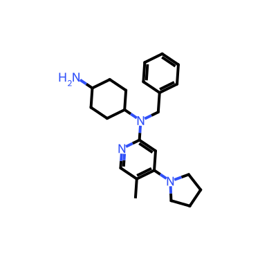 Cc1cnc(N(Cc2ccccc2)C2CCC(N)CC2)cc1N1CCCC1